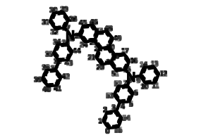 c1ccc(-c2ccc(N(c3ccccc3)c3ccc4c(ccc5c6cc(N(c7ccccc7)c7ccc(-c8ccccc8)cc7)ccc6ccc45)c3)cc2)cc1